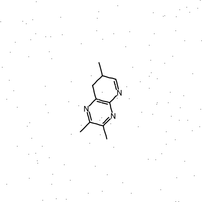 Cc1nc2c(nc1C)N=CC(C)C2